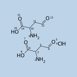 Cl.NC(CC=O)C(=O)O.NC(CC=O)C(=O)O